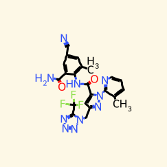 Cc1cccnc1-n1nc(Cn2nnnc2C(F)(F)F)cc1C(=O)Nc1c(C)cc(C#N)cc1C(N)=O